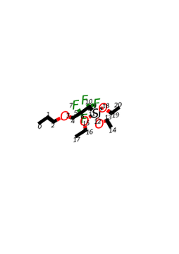 CCCOCC(F)(F)C(F)(F)[Si](OCC)(OCC)OCC